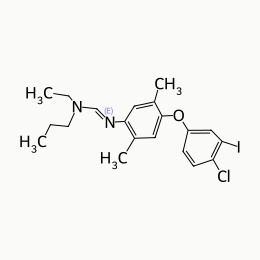 CCCN(/C=N/c1cc(C)c(Oc2ccc(Cl)c(I)c2)cc1C)CC